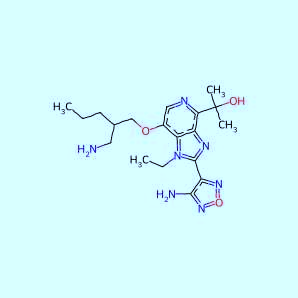 CCCC(CN)COc1cnc(C(C)(C)O)c2nc(-c3nonc3N)n(CC)c12